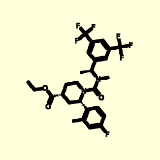 CCOC(=O)[C@@H]1CCN(C(=O)N(C)[C@@H](C)c2cc(C(F)(F)F)cc(C(F)(F)F)c2)[C@H](c2ccc(F)cc2C)C1